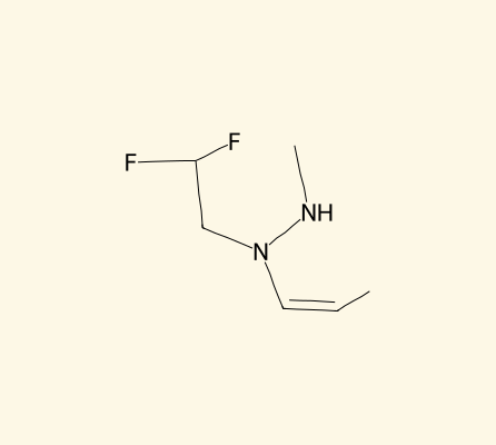 C/C=C\N(CC(F)F)NC